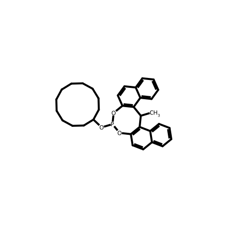 CC1c2c(ccc3ccccc23)OP(OC2CCCCCCCCCCC2)Oc2ccc3ccccc3c21